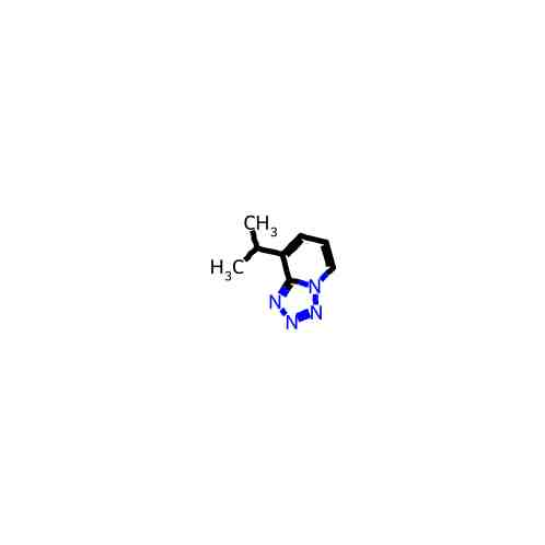 CC(C)c1cccn2nnnc12